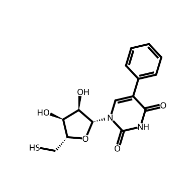 O=c1[nH]c(=O)n([C@@H]2O[C@H](CS)[C@@H](O)[C@H]2O)cc1-c1ccccc1